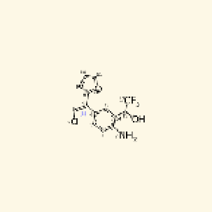 Nc1ccc(/C(=C\Cl)c2ccco2)cc1C(O)C(F)(F)F